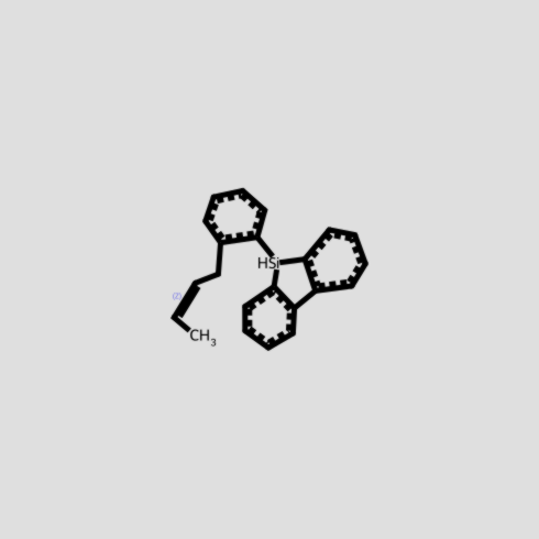 C/C=C\Cc1ccccc1[SiH]1c2ccccc2-c2ccccc21